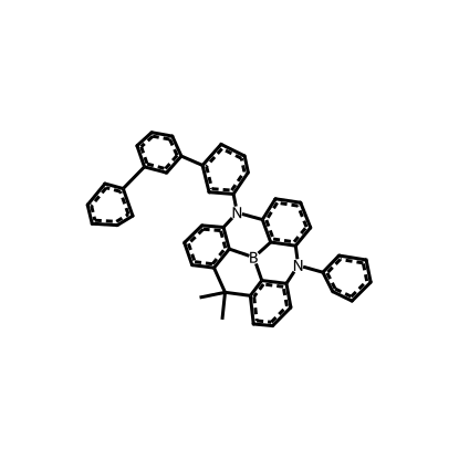 CC1(C)c2cccc3c2B2c4c(cccc4N(c4cccc(-c5cccc(-c6ccccc6)c5)c4)c4cccc1c42)N3c1ccccc1